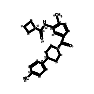 Cc1ccc(C(=O)N2CCC(c3ccc(C#N)cc3)CC2)cc1NC(=O)N1CCC1